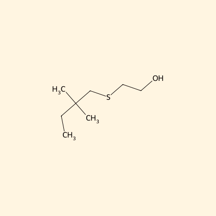 CCC(C)(C)CSCCO